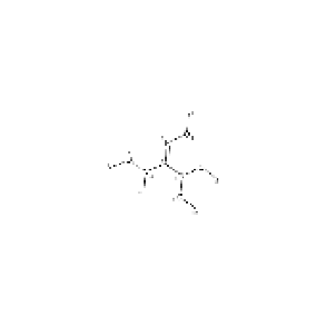 CON=C(N(C)OC)N(OC)OC